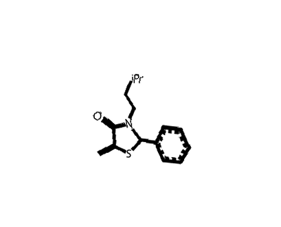 C=C1SC(c2ccccc2)N(CCC(C)C)C1=O